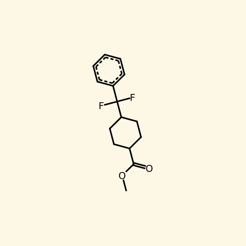 COC(=O)C1CCC(C(F)(F)c2ccccc2)CC1